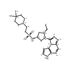 CC[C@@H]1C[C@H](NS(=O)(=O)CCN2CCC(F)(F)CC2)C[C@@H]1c1nnc2cnc3[nH]ccc3n12